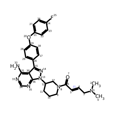 CN(C)C/C=C/C(=O)N1CCCC(n2nc(-c3ccc(Oc4ccc(F)cc4)cc3)c3c(N)ncnc32)C1